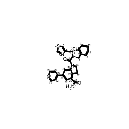 CN(c1cscn1)[C@@H](Cc1ccccc1)C(=O)N1CCc2c(C(N)=O)cc(-c3ccncc3)cc21